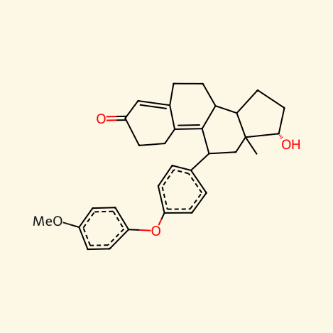 COc1ccc(Oc2ccc(C3CC4(C)C(CC[C@@H]4O)C4CCC5=CC(=O)CCC5=C34)cc2)cc1